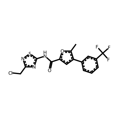 Cc1oc(C(=O)Nc2nc(CCl)ns2)cc1-c1cccc(C(F)(F)F)c1